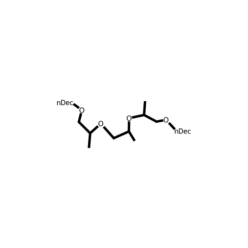 CCCCCCCCCCOCC(C)OCC(C)OC(C)COCCCCCCCCCC